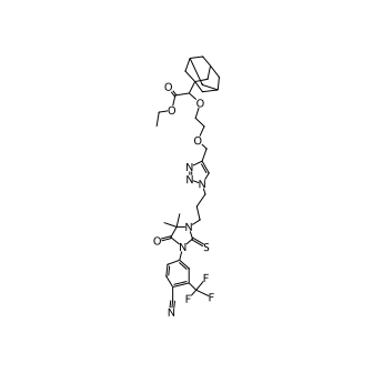 CCOC(=O)C(OCCOCc1cn(CCCN2C(=S)N(c3ccc(C#N)c(C(F)(F)F)c3)C(=O)C2(C)C)nn1)C12CC3CC(CC(C3)C1)C2